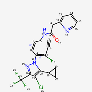 C#C/C(F)=C(\C=C/CNC(=O)Cc1ccccn1)n1nc(C(F)(F)F)c(Cl)c1C1CC1